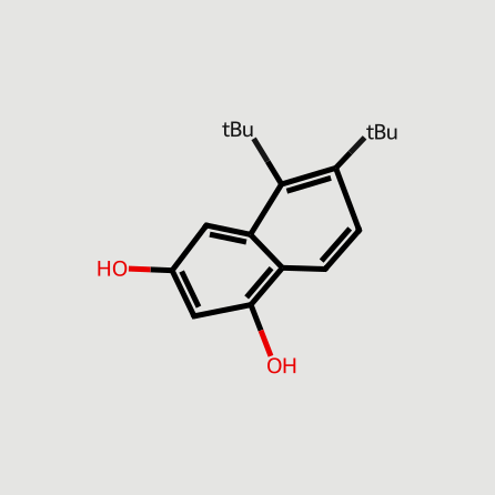 CC(C)(C)c1ccc2c(O)cc(O)cc2c1C(C)(C)C